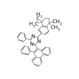 CC1(C)CCC(C)(C)c2cc(-c3nc(-c4ccccc4)nc(-c4c(-c5ccccc5)c5ccccc5c5ccccc45)n3)ccc21